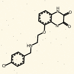 O=C1[N]c2c(cccc2OCCNCc2ccc(Cl)cc2)NC1=O